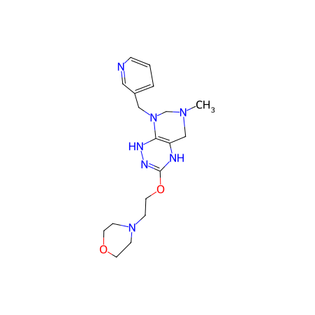 CN1CC2=C(NN=C(OCCN3CCOCC3)N2)N(Cc2cccnc2)C1